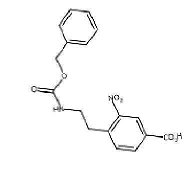 O=C(NCCc1ccc(C(=O)O)cc1[N+](=O)[O-])OCc1ccccc1